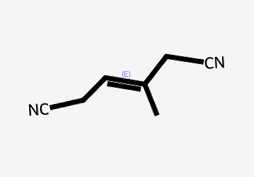 C/C(=C\CC#N)CC#N